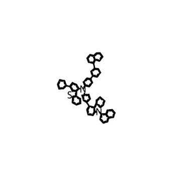 c1ccc(-c2ccc(N(c3ccc(-c4cccc(-c5cccc6ccccc56)c4)cc3)c3ccc(-c4cccc5c4c4ccccc4n5-c4cccc5ccccc45)cc3)c3c2sc2ccccc23)cc1